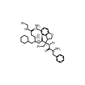 CC(=O)N(C(=O)[C@@H](N)Cc1ccccc1)[C@](CC(C)C)(C(=O)N[C@@H](CC1CCCCC1)[C@@H](O)CC(=O)NCC(C)C)C1COc2ccc(CN)cc21